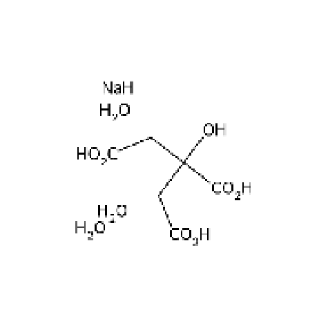 O.O.O.O=C(O)CC(O)(CC(=O)O)C(=O)O.[NaH]